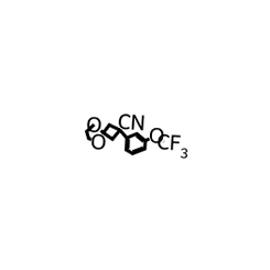 N#CC1(c2cccc(OC(F)(F)F)c2)CC2(C1)OCCO2